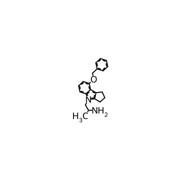 C[C@H](N)Cn1c2c(c3c(OCc4ccccc4)cccc31)CCC2